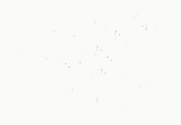 CCN1CCN(c2ccc(-c3ccc(Cl)cc3N3CCCC(n4ncc(C(=O)O)c4C(F)F)C3)cn2)CC1